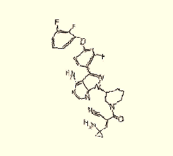 N#C/C(=C\C1(N)CC1)C(=O)N1CCC[C@H](n2nc(-c3ccc(Oc4cccc(F)c4F)cc3F)c3c(N)ncnc32)C1